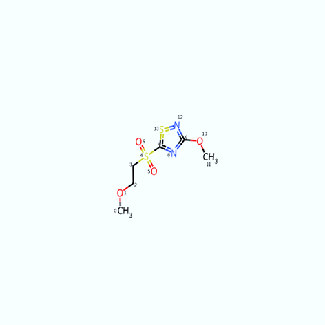 COCCS(=O)(=O)c1nc(OC)ns1